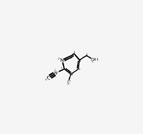 [C-]#[N+]c1ncc(CO)cc1Cl